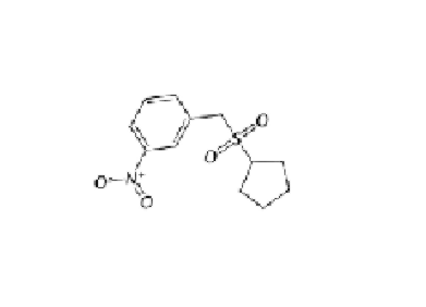 O=[N+]([O-])c1cccc(CS(=O)(=O)C2CCCC2)c1